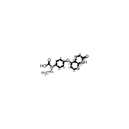 CSN(C(=O)O)c1ccc(Oc2ccnc3[nH]c(=O)cnc23)cc1